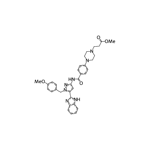 COC(=O)CCN1CCN(c2ccc(C(=O)Nc3cc(-c4nc5ccccc5[nH]4)n(Cc4ccc(OC)cc4)n3)cc2)CC1